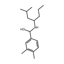 CCCC(CC(C)C)NC(O)c1ccc(C)c(C)c1